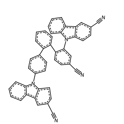 N#Cc1ccc(-c2ccccc2-c2ccc(-n3c4ccccc4c4cc(C#N)ccc43)cc2)c(-n2c3ccccc3c3cc(C#N)ccc32)c1